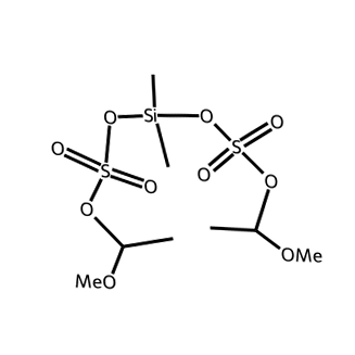 COC(C)OS(=O)(=O)O[Si](C)(C)OS(=O)(=O)OC(C)OC